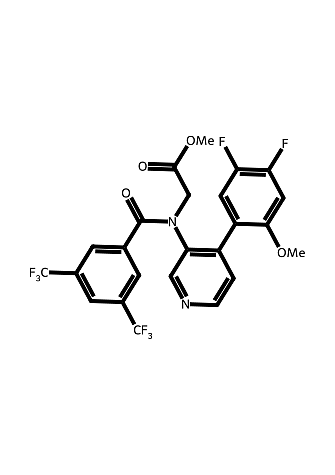 COC(=O)CN(C(=O)c1cc(C(F)(F)F)cc(C(F)(F)F)c1)c1cnccc1-c1cc(F)c(F)cc1OC